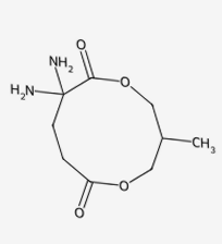 CC1COC(=O)CCC(N)(N)C(=O)OC1